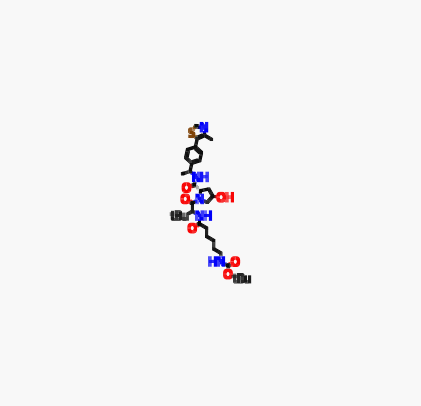 Cc1ncsc1-c1ccc([C@H](C)NC(=O)[C@@H]2C[C@@H](O)CN2C(=O)C(NC(=O)CCCCCNC(=O)OC(C)(C)C)C(C)(C)C)cc1